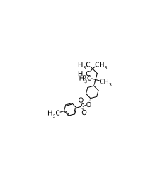 Cc1ccc(S(=O)(=O)O[C@H]2CC[C@H](C(C)(C)CC(C)(C)C)CC2)cc1